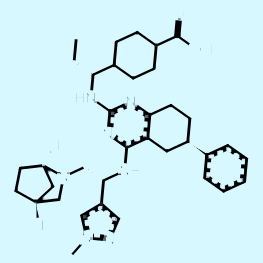 CC[C@@H](Nc1nc2c(c(N[C@@H](CN3C[C@@H]4CC[C@@H]3C4)c3cnn(C)c3)n1)C[C@H](c1ccccc1)CC2)C1CCC(C(=O)O)CC1